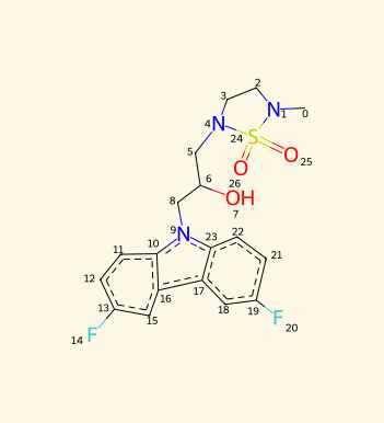 CN1CCN(CC(O)Cn2c3ccc(F)cc3c3cc(F)ccc32)S1(=O)=O